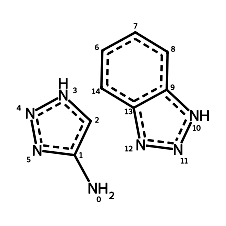 Nc1c[nH]nn1.c1ccc2[nH]nnc2c1